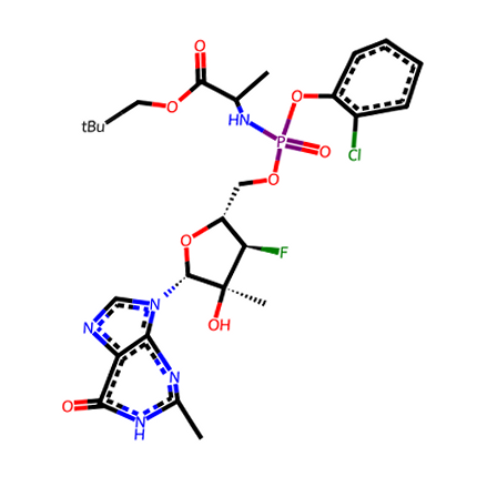 Cc1nc2c(ncn2[C@@H]2O[C@H](COP(=O)(NC(C)C(=O)OCC(C)(C)C)Oc3ccccc3Cl)[C@@H](F)[C@@]2(C)O)c(=O)[nH]1